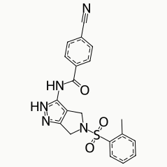 Cc1ccccc1S(=O)(=O)N1Cc2n[nH]c(NC(=O)c3ccc(C#N)cc3)c2C1